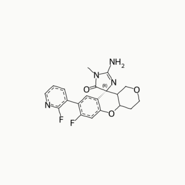 CN1C(=O)[C@]2(N=C1N)c1cc(-c3cccnc3F)c(F)cc1OC1CCOCC12